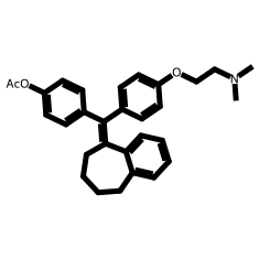 CC(=O)Oc1ccc(C(=C2CCCCc3ccccc32)c2ccc(OCCN(C)C)cc2)cc1